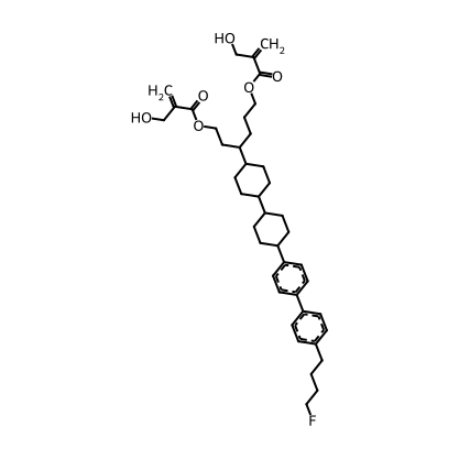 C=C(CO)C(=O)OCCCC(CCOC(=O)C(=C)CO)C1CCC(C2CCC(c3ccc(-c4ccc(CCCCF)cc4)cc3)CC2)CC1